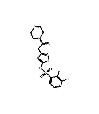 Cc1c(Cl)cccc1S(=O)(=O)Nc1nc(CC(=O)N2CCSCC2)ns1